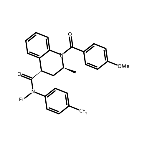 CCN(C(=O)[C@H]1C[C@H](C)N(C(=O)c2ccc(OC)cc2)c2ccccc21)c1ccc(C(F)(F)F)cc1